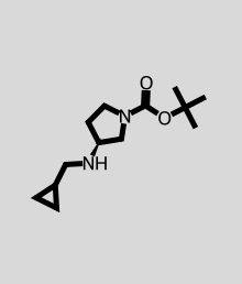 CC(C)(C)OC(=O)N1CC[C@H](NCC2CC2)C1